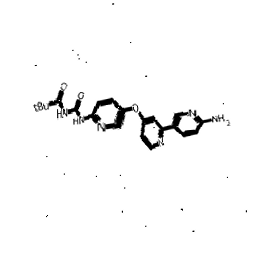 CC(C)(C)C(=O)NC(=O)Nc1ccc(Oc2ccnc(-c3ccc(N)nc3)c2)cn1